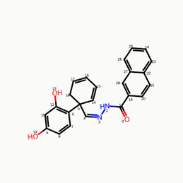 O=C(N/N=C\C1(c2ccc(O)cc2O)C=CC=CC1)c1ccc2ccccc2c1